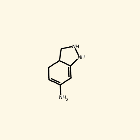 NC1=CCC2CNNC2=C1